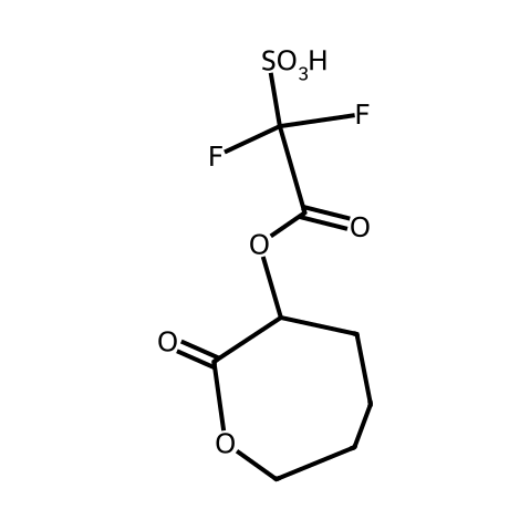 O=C1OCCCCC1OC(=O)C(F)(F)S(=O)(=O)O